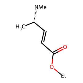 CCOC(=O)/C=C/[C@H](C)NC